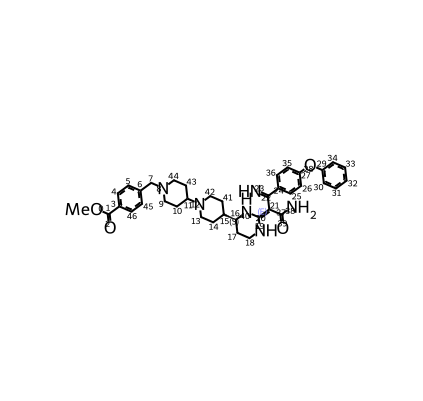 COC(=O)c1ccc(CN2CCC(N3CCC([C@@H]4CCN/C(=C(/C(=N)c5ccc(Oc6ccccc6)cc5)C(N)=O)N4)CC3)CC2)cc1